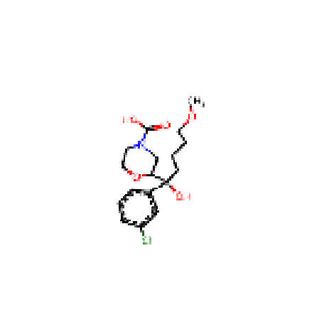 COCCCC[C@](O)(c1cccc(Cl)c1)C1CN(C(=O)O)CCO1